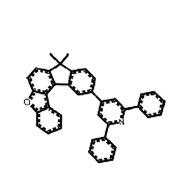 CC1(C)c2ccc(-c3cc(-c4ccccc4)nc(-c4ccccc4)c3)cc2-c2c1ccc1oc3ccccc3c21